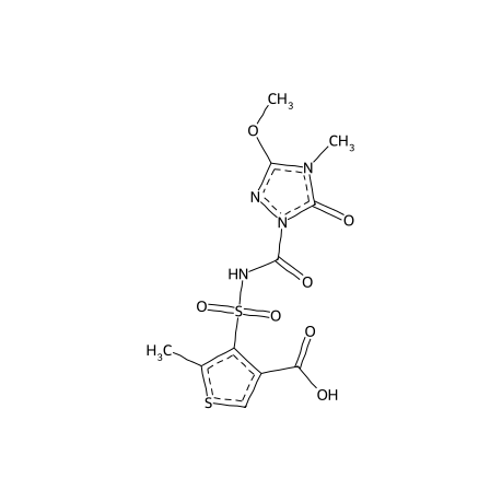 COc1nn(C(=O)NS(=O)(=O)c2c(C(=O)O)csc2C)c(=O)n1C